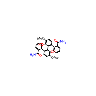 COc1ccc(-c2ccccc2C(N)=O)c(-c2c(-c3ccccc3C(N)=O)ccc(OC)c2O)c1O